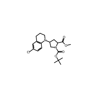 COC(=O)C1CC(N2CCCc3cc(Cl)ccc32)CN1C(=O)OC(C)(C)C